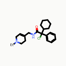 CCN1CC=C(CNC(=O)C(Cl)(c2ccccc2)C2CCCCC2)CC1